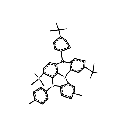 Cc1ccc(N2c3ccc(C)cc3B3c4cc(C(C)(C)C)ccc4N(c4ccc(C(C)(C)C)cc4)c4ccc(S(C)(C)C)c2c43)cc1